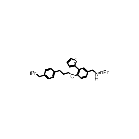 [CH2]CCNCc1ccc(OCCCc2ccc(CC(C)C)cc2)c(-c2cccs2)c1